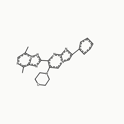 Cc1ncc(C)n2nc(-c3nc4nc(-c5ccccc5)cn4cc3N3CCOCC3)nc12